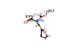 CC(C)(C)OC(=O)N[C@@H](C[C@@H]1CCCO1)C(=O)C(C)(C)C